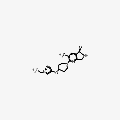 CCn1cc(OC2CCN(c3nc4c(cc3C)C(=O)NC4)CC2)cn1